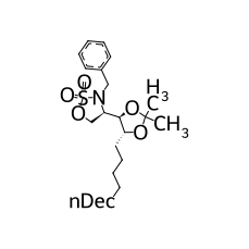 CCCCCCCCCCCCCC[C@H]1OC(C)(C)O[C@@H]1[C@H]1COS(=O)(=O)N1Cc1ccccc1